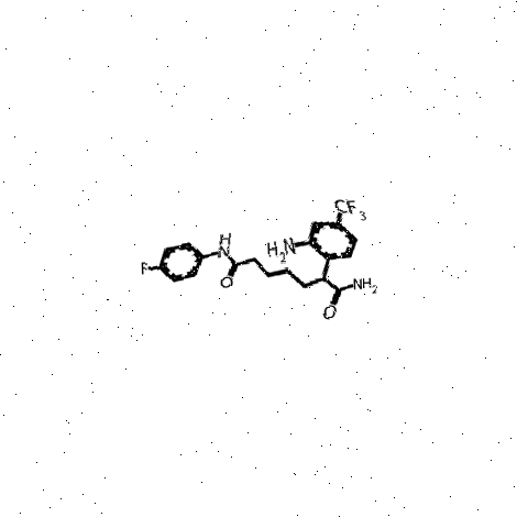 NC(=O)C(CCCCC(=O)Nc1ccc(F)cc1)c1ccc(C(F)(F)F)cc1N